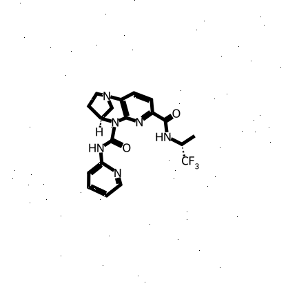 C[C@@H](NC(=O)c1ccc2c(n1)N(C(=O)Nc1ccccn1)[C@H]1CCN2C1)C(F)(F)F